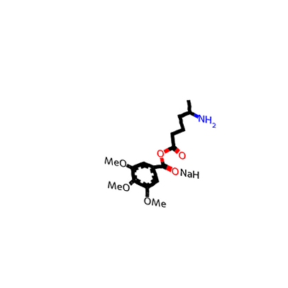 COc1cc(C(=O)OC(=O)CCCC(C)N)cc(OC)c1OC.[NaH]